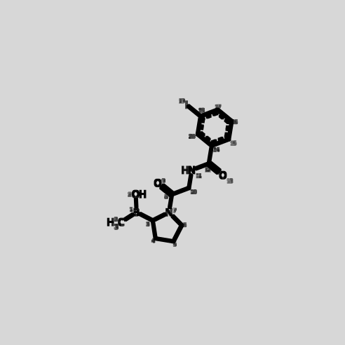 CB(O)C1CCCN1C(=O)CNC(=O)c1cccc(I)c1